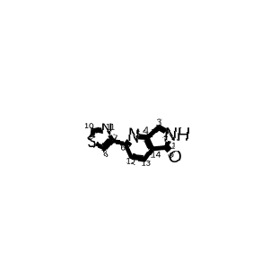 O=C1NCc2nc(-c3cscn3)ccc21